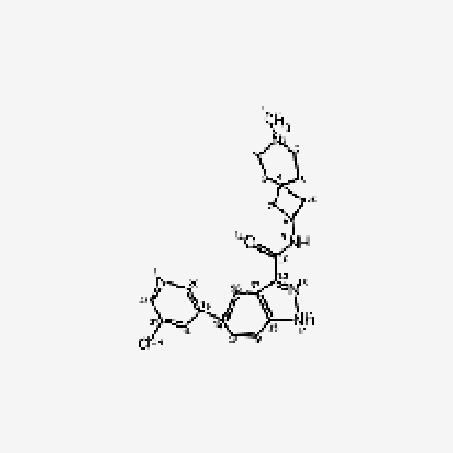 CN1CCC2(CC1)CC(NC(=O)c1n[nH]c3ccc(-c4cncc(Cl)c4)cc13)C2